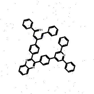 N=C(/C=C(\C=C\c1ccccc1)c1ccc(-c2nc3ccccc3nc2-c2ccc(-c3cc(-c4ccccc4)nc(-c4ccccc4)c3)cc2)cc1)c1ccccc1